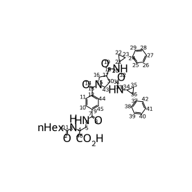 CCCCCCC(=O)N[C@@H](CNC(=O)c1ccc(C(=O)N2C[C@@H](C(=O)N[C@H]3C[C@@H]3c3ccccc3)[C@H](C(=O)N[C@H]3C[C@@H]3c3ccccc3)C2)cc1)C(=O)O